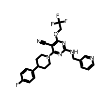 N#Cc1c(OCC(F)(F)F)nc(NCc2cccnc2)nc1N1CCC(c2ccc(F)cc2)CC1